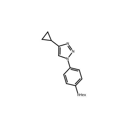 CCCCCCc1ccc(-n2cc(C3CC3)nn2)cc1